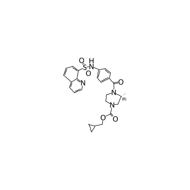 C[C@@H]1CN(C(=O)OCC2CC2)CCN1C(=O)c1ccc(NS(=O)(=O)c2cccc3cccnc23)cc1